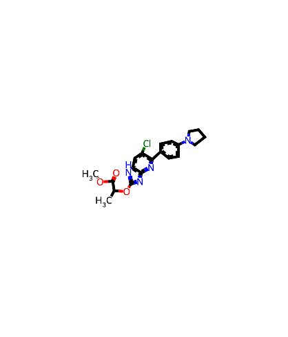 COC(=O)C(C)Oc1nc2nc(-c3ccc(N4CCCC4)cc3)c(Cl)cc2[nH]1